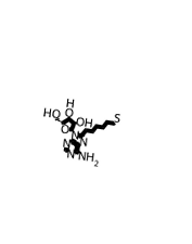 Nc1ncnc2c1nc(CCCCCC=S)n2[C@@H]1O[C@H](CO)[C@@H](O)[C@H]1O